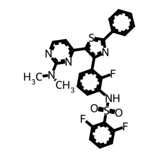 CN(C)c1nccc(-c2sc(-c3ccccc3)nc2-c2cccc(NS(=O)(=O)c3c(F)cccc3F)c2F)n1